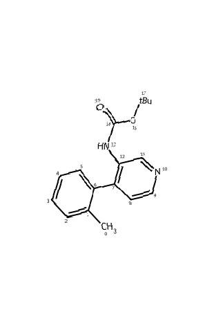 Cc1ccccc1-c1ccncc1NC(=O)OC(C)(C)C